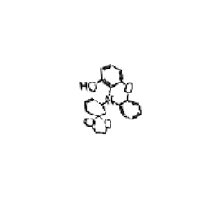 Oc1cccc2c1N(C1C=CCC3(C1)OCCO3)c1ccccc1O2